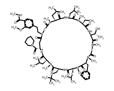 CC[C@H]1C(=O)N[C@@H]([C@@H](C)O)C(=O)N(C)CC(=O)N(C)[C@@H](Cc2ccccc2)C(=O)N(C)[C@@H](CC(C)C)C(=O)N[C@@H](COC(C)(C)C)C(=O)N(C)[C@@H](CC(C)C)C(=O)N[C@H](C(=O)N2CCCCC2)CC(=O)N(CCc2ccc(C(=O)NC)c(OC)c2)CC(=O)N(C)[C@@H](CC(C)C)C(=O)N[C@@H](CC(C)C)C(=O)N1C